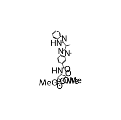 COC(=O)C(CP(=O)(OC)OC)NC(=O)c1ccc2nc(C(C)c3nc4ccccc4[nH]3)n(C)c2c1